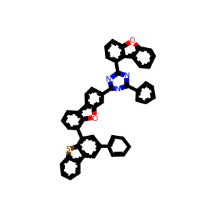 C1=CC(c2cc(-c3cccc4c3oc3cc(-c5nc(-c6ccccc6)nc(-c6cccc7oc8ccccc8c67)n5)ccc34)c3sc4ccccc4c3c2)=CCC1